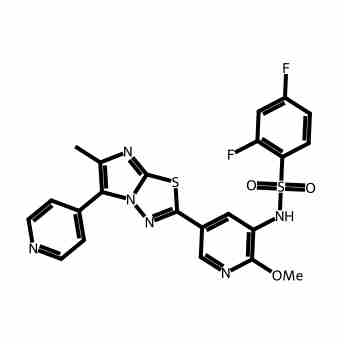 COc1ncc(-c2nn3c(-c4ccncc4)c(C)nc3s2)cc1NS(=O)(=O)c1ccc(F)cc1F